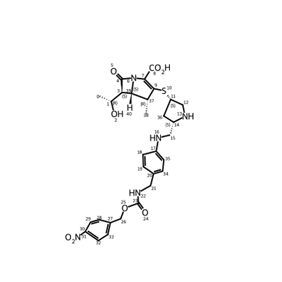 C[C@@H](O)[C@H]1C(=O)N2C(C(=O)O)=C(S[C@@H]3CN[C@H](CNc4ccc(CNC(=O)OCc5ccc([N+](=O)[O-])cc5)cc4)C3)[C@H](C)[C@H]12